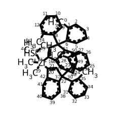 Cc1ccccc1C1(c2ccccc2C)C=[C]([Zr]([CH3])([CH3])([C]2=CC(c3ccccc3C)(c3ccccc3C)c3ccccc32)[SiH](C)C)c2ccccc21